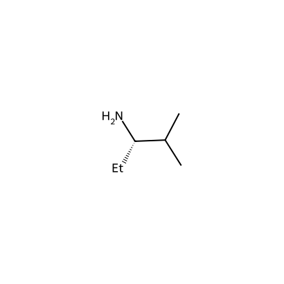 CC[C@H](N)C(C)C